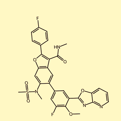 CNC(=O)c1c(-c2ccc(F)cc2)oc2cc(N(C)S(C)(=O)=O)c(-c3cc(F)c(OC)c(-c4nc5ncccc5o4)c3)cc12